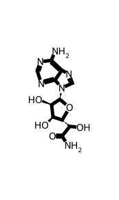 NC(=O)C(O)[C@H]1O[C@@H](n2cnc3c(N)ncnc32)[C@H](O)[C@@H]1O